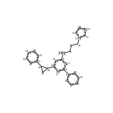 c1ccc(-c2nc(NCCCn3ccnc3)cc(C3CC3c3ccccc3)n2)cc1